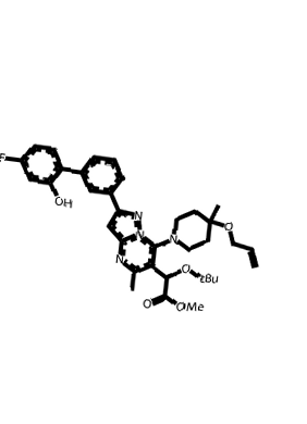 C=CCOC1(C)CCN(c2c(C(OC(C)(C)C)C(=O)OC)c(C)nc3cc(-c4cccc(-c5ccc(F)cc5O)c4)nn23)CC1